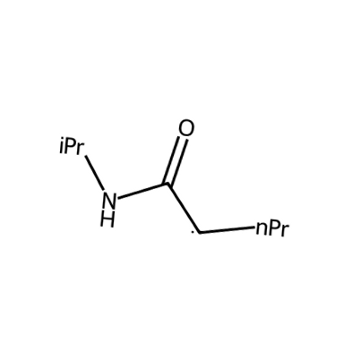 CCC[CH]C(=O)NC(C)C